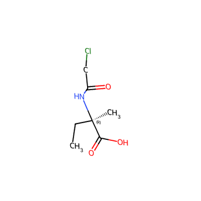 CC[C@@](C)(NC(=O)CCl)C(=O)O